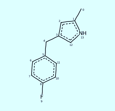 Cc1cc(Cc2ccc(F)cc2)c[nH]1